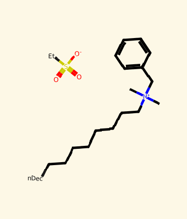 CCCCCCCCCCCCCCCCCC[N+](C)(C)Cc1ccccc1.CCS(=O)(=O)[O-]